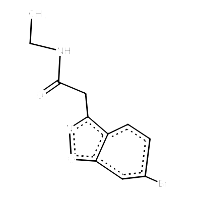 CCNC(=O)Cc1noc2cc(Br)ccc12